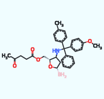 B[C@H]1C[C@H](NC(c2ccccc2)(c2ccc(C)cc2)c2ccc(OC)cc2)[C@@H](COC(=O)CCC(C)=O)O1